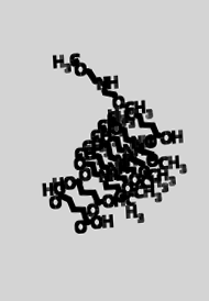 CCCCC(=O)O.COCCNCCOC.COCCNCCOC.COCCNCCOC.COCCNCCOC.COCCNCCOC.COCCNCCOC.O=C(O)CCC(=O)O.O=C(O)CCCC(=O)O